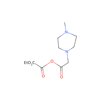 CCOC(=O)C(=O)OC(=O)CN1CCN(C)CC1